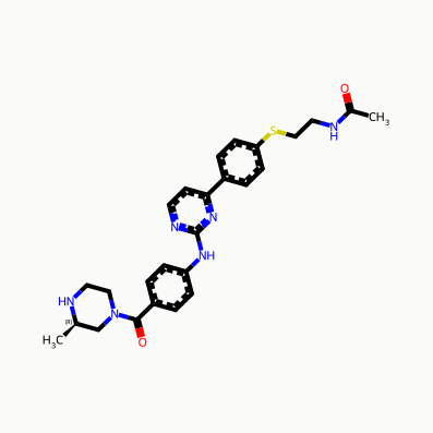 CC(=O)NCCSc1ccc(-c2ccnc(Nc3ccc(C(=O)N4CCN[C@H](C)C4)cc3)n2)cc1